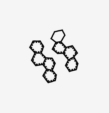 c1ccc2c(c1)ccc1c3c(ccc12)CCCC3.c1ccc2c(c1)ccc1c3ccccc3ccc21